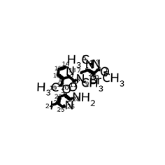 COc1nn(C)c(CN(C)C(=O)c2ncccc2C(C)Oc2cc(I)cnc2N)c1Br